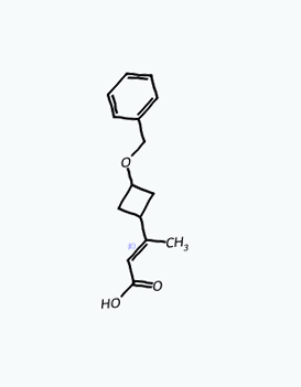 C/C(=C\C(=O)O)C1CC(OCc2ccccc2)C1